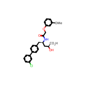 COc1cccc(OCC(=O)N[C@H](Cc2ccc(-c3cccc(Cl)c3)cc2)C[C@H](O)C(=O)O)c1